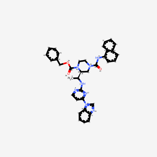 CC(Nc1nccc(-n2cnc3ccccc32)n1)[C@@H]1CN(C(=O)Nc2cccc3ccccc23)CCN1C(=O)OCc1ccccc1